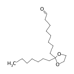 CCCCCCCC1(CCCCCCCC=O)OCCO1